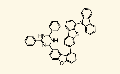 c1ccc(C2=NC(c3ccc4oc5cccc(-c6ccc7c(c6)sc6c(-n8c9ccccc9c9ccccc98)cccc67)c5c4c3)NC(c3ccccc3)N2)cc1